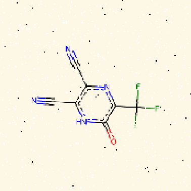 N#Cc1nc(C(F)(F)F)c(=O)[nH]c1C#N